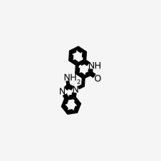 Nc1nc2ccccc2n1Cc1cc2ccccc2[nH]c1=O